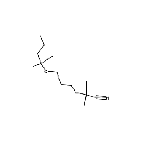 CCCC(C)(C)OCCCCC(C)(C)C#N